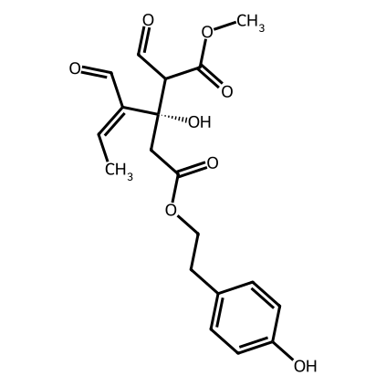 C/C=C(/C=O)[C@](O)(CC(=O)OCCc1ccc(O)cc1)C(C=O)C(=O)OC